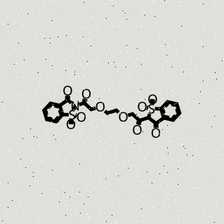 O=C(COCCOCC(=O)N1C(=O)c2ccccc2S1(=O)=O)C1C(=O)c2ccccc2S1(=O)=O